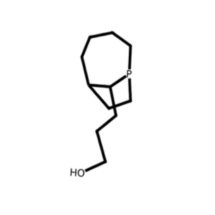 OCCCC1C2CCCCP1CC2